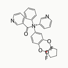 O=C(c1cccnc1)[N+](c1ccccc1)(c1cccnc1)c1ccc(OC(F)F)c(OC2CCCO2)c1